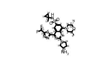 C[C@H]1CN(c2cc(S(=O)(=O)NC3(C)CC3)cc3c(-c4nnc(C(F)F)s4)nc(N4CC[C@H](N)C4)nc23)C[C@H](C)O1